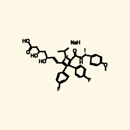 COc1ccc([C@@H](C)NC(=O)c2c(-c3ccc(F)cc3)c(-c3ccc(F)cc3)c(C=C[C@@H](O)C[C@@H](O)CC(=O)O)n2C(C)C)cc1.[NaH]